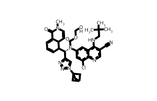 CN1C=CC2C(=CC=CC2[C@@H](c2cn(C34CC(C3)C4)nn2)N(C(=O)OCO)c2cc(Cl)c3ncc(C#N)c(NCC(C)(C)C)c3c2)C1=O